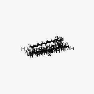 [2H]C([2H])(CCCCCCCCCCCCCC)C(=O)[O-].[2H]C([2H])([2H])C([2H])([2H])C([2H])([2H])C([2H])([2H])C([2H])([2H])C([2H])([2H])C([2H])([2H])C([2H])([2H])C([2H])([2H])C([2H])([2H])C([2H])([2H])C([2H])([2H])C([2H])([2H])C([2H])([2H])C([2H])([2H])C(=O)O.[K+]